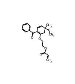 C=CC(=O)OCCOC1=C(C(=O)c2ccccc2)C=CC(C)(OC)C1